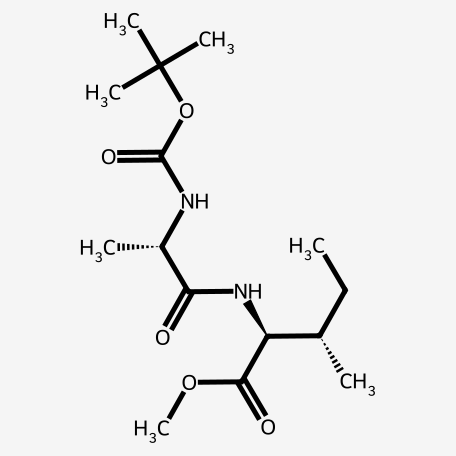 CC[C@H](C)[C@H](NC(=O)[C@H](C)NC(=O)OC(C)(C)C)C(=O)OC